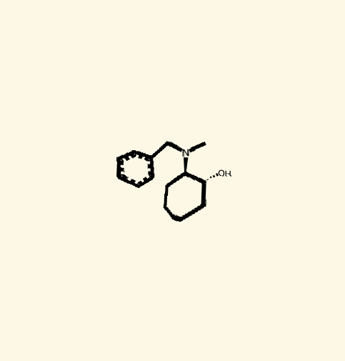 CN(Cc1ccccc1)[C@@H]1CCCC[C@H]1O